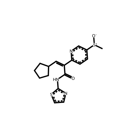 C[S+]([O-])c1ccc(C(=CC2CCCC2)C(=O)Nc2nccs2)nc1